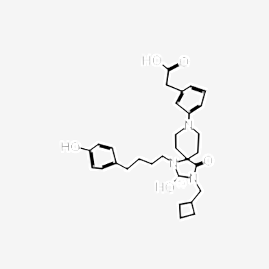 O=C(O)Cc1cccc(N2CCC3(CC2)C(=O)N(CC2CCC2)[C@@H](O)N3CCCCc2ccc(O)cc2)c1